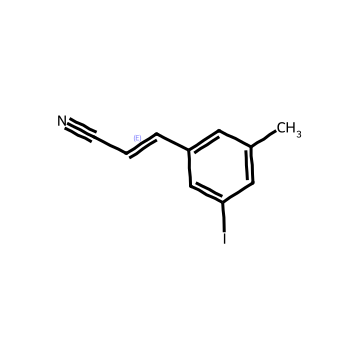 Cc1cc(I)cc(/C=C/C#N)c1